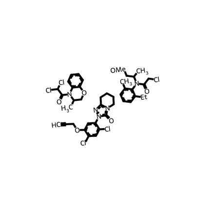 C#CCOc1cc(-n2nc3n(c2=O)CCCC3)c(Cl)cc1Cl.CC1COc2ccccc2N1C(=O)C(Cl)Cl.CCc1cccc(C)c1N(C(=O)CCl)C(C)COC